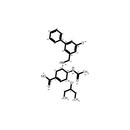 CCC(CC)O[C@@H]1C=C(C(=O)O)C[C@H](NCc2cc(Cl)cc(-c3ccccc3)c2)[C@H]1NC(C)=O